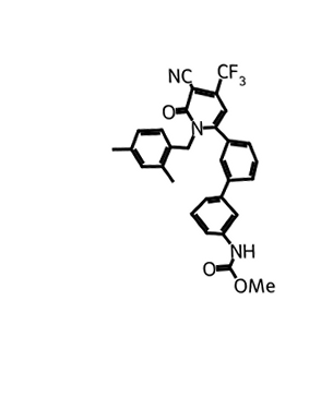 COC(=O)Nc1cccc(-c2cccc(-c3cc(C(F)(F)F)c(C#N)c(=O)n3Cc3ccc(C)cc3C)c2)c1